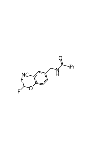 CC(C)C(=O)NCc1ccc(OC(F)F)c(C#N)c1